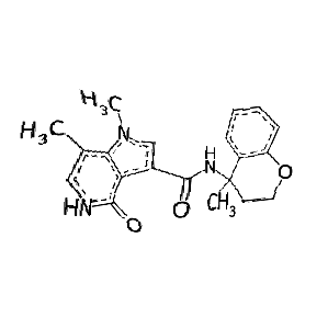 Cc1c[nH]c(=O)c2c(C(=O)NC3(C)CCOc4ccccc43)cn(C)c12